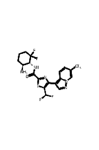 N[C@H]1CCCC(F)(F)[C@@H]1NC(=O)c1nc(-c2cnn3cc(C(F)(F)F)ccc23)c(C(F)F)s1